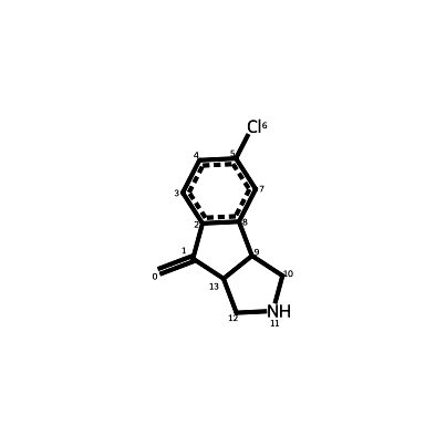 C=C1c2ccc(Cl)cc2C2CNCC12